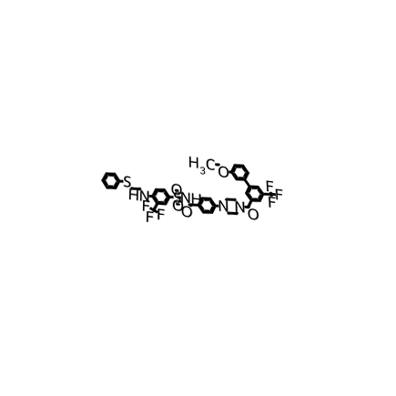 CCOc1cccc(-c2cc(C(=O)N3CCN(c4ccc(C(=O)NS(=O)(=O)c5ccc(NCCSc6ccccc6)c(C(F)(F)F)c5)cc4)CC3)cc(C(F)(F)F)c2)c1